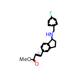 COC(=O)/C=C/c1ccc2c(c1)CCC2NCc1ccc(F)cc1